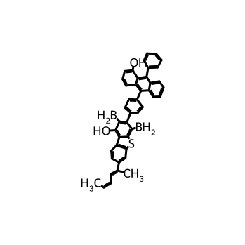 Bc1c(-c2ccc(-c3c4ccccc4c(-c4ccccc4)c4c(O)cccc34)cc2)c(B)c2sc3cc(/C(C)=C/C=C\C)ccc3c2c1O